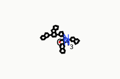 CCC1C(c2cccc(-c3ccc(-c4ccc5ccccc5c4)c4c3-c3ccccc3C4)c2)=NC(c2ccc3ccccc3c2)=NC1c1ccc2ccccc2c1